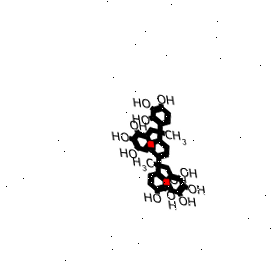 CC(Cc1ccc(O)c(O)c1O)(c1ccc(C(C)(Cc2ccc(O)c(O)c2O)c2ccc(O)c(O)c2O)cc1)c1ccc(O)c(O)c1O